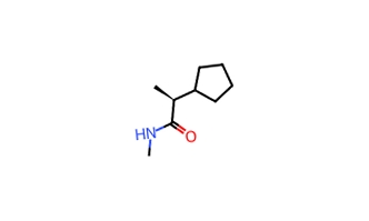 CNC(=O)[C@@H](C)C1CCCC1